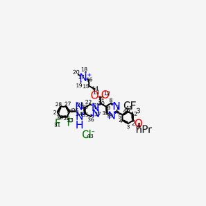 CCCOc1ccc(-c2ncc(C(C(=O)OCCC[N+](C)(C)C)N3Cc4nc(-c5cccc(F)c5F)[nH]c4C=N3)cn2)c(C(F)(F)F)c1.[Cl-]